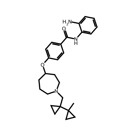 CC1(C2(CN3CCCC(Oc4ccc(C(=O)Nc5ccccc5N)cc4)CC3)CC2)CC1